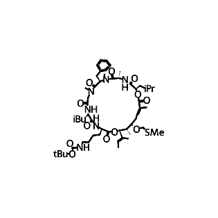 C/C=C(\C)[C@H]1OC(=O)[C@@H](CCCCNC(=O)OC(C)(C)C)NC(=O)[C@H]([C@H](C)CC)NC(=O)CN(C)C(=O)[C@@H](Cc2ccccc2)N(C)C(=O)[C@H](C)NC(=O)[C@@H](CC(C)C)OC(=O)/C(C)=C/C[C@H](OCSC)[C@@H]1C